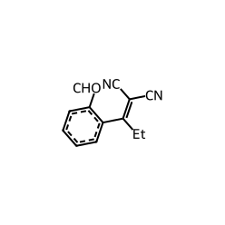 CCC(=C(C#N)C#N)c1ccccc1C=O